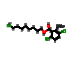 COc1c(Cl)ccc(Cl)c1C(=O)OCCCCCCCCBr